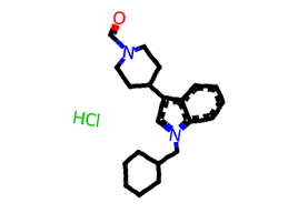 Cl.O=CN1CCC(c2cn(CC3CCCCC3)c3ccccc23)CC1